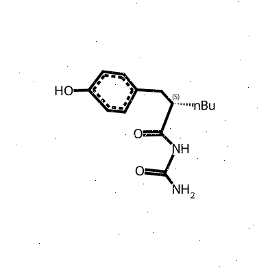 CCCC[C@@H](Cc1ccc(O)cc1)C(=O)NC(N)=O